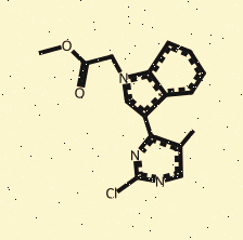 COC(=O)Cn1cc(-c2nc(Cl)ncc2C)c2ccccc21